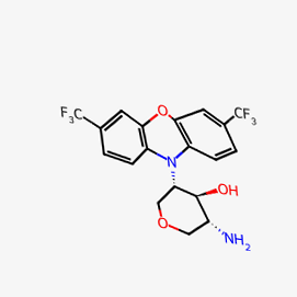 N[C@@H]1COC[C@H](N2c3ccc(C(F)(F)F)cc3Oc3cc(C(F)(F)F)ccc32)[C@H]1O